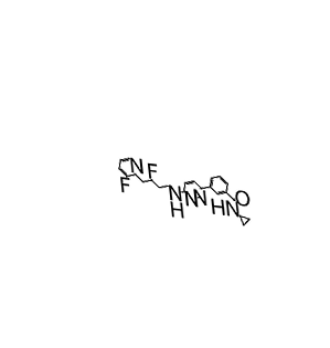 O=C(NC1CC1)c1cccc(-c2ccc(NCC[C@H](F)Cc3ncccc3F)nn2)c1